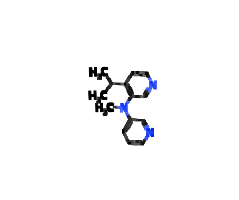 CC(C)c1ccncc1N(C)c1cccnc1